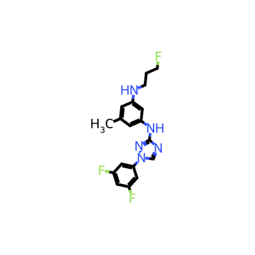 Cc1cc(NCCCF)cc(Nc2ncn(-c3cc(F)cc(F)c3)n2)c1